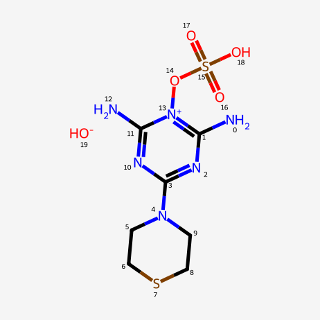 Nc1nc(N2CCSCC2)nc(N)[n+]1OS(=O)(=O)O.[OH-]